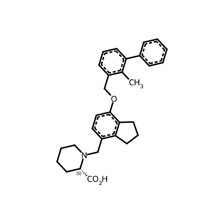 Cc1c(COc2ccc(CN3CCCC[C@H]3C(=O)O)c3c2CCC3)cccc1-c1ccccc1